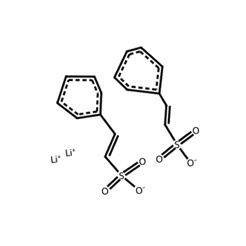 O=S(=O)([O-])C=Cc1ccccc1.O=S(=O)([O-])C=Cc1ccccc1.[Li+].[Li+]